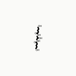 O=C(CCCCO)NCC(O)CNC(=O)CCCCO